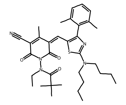 CCCCN(CCCC)c1nc(-c2c(C)cccc2C)c(/C=C2\C(=O)N(N(CC)C(=O)C(C)(C)C)C(=O)C(C#N)=C2C)s1